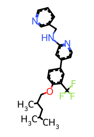 CC(C)CC(C)COc1ccc(-c2ccnc(NCc3cccnc3)c2)cc1C(F)(F)F